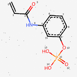 C=CC(=O)Nc1cccc(OP(=O)(O)O)c1